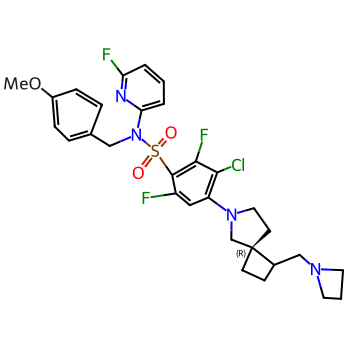 COc1ccc(CN(c2cccc(F)n2)S(=O)(=O)c2c(F)cc(N3CC[C@@]4(CCC4CN4CCC4)C3)c(Cl)c2F)cc1